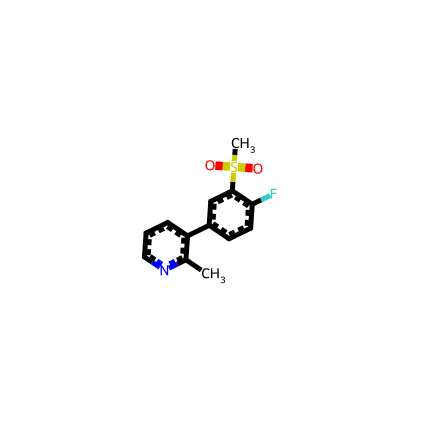 Cc1ncccc1-c1ccc(F)c(S(C)(=O)=O)c1